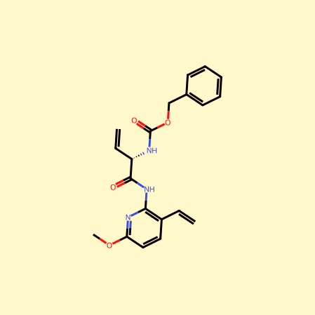 C=Cc1ccc(OC)nc1NC(=O)[C@H](C=C)NC(=O)OCc1ccccc1